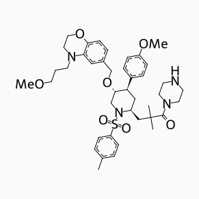 COCCCN1CCOc2ccc(CO[C@H]3CN(S(=O)(=O)c4ccc(C)cc4)[C@H](CC(C)(C)C(=O)N4CCNCC4)C[C@@H]3c3ccc(OC)cc3)cc21